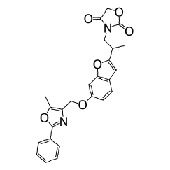 Cc1oc(-c2ccccc2)nc1COc1ccc2cc(C(C)CN3C(=O)COC3=O)oc2c1